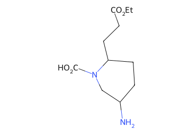 CCOC(=O)CCC1CCC(N)CN1C(=O)O